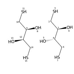 O[C@H](CS)[C@@H](O)CS.O[C@H](CS)[C@H](O)CS